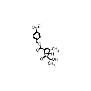 C[C@@H](O)[C@H]1C(=O)N2C(C(=O)OCc3ccc([N+](=O)[O-])cc3)=C[C@H](C)[C@H]12